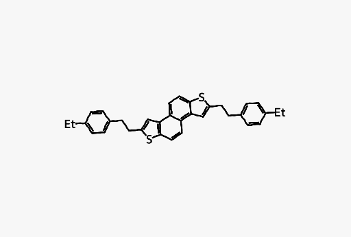 CCc1ccc(CCc2cc3c(ccc4c5cc(CCc6ccc(CC)cc6)sc5ccc34)s2)cc1